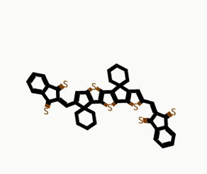 S=C1C(=CC2=Cc3sc4c5c(sc4c3C23CCCCC3)-c2sc(C=C3C(=S)c4ccccc4C3=S)cc2C52CCCCC2)C(=S)c2ccccc21